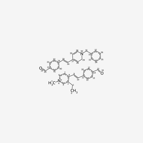 CCc1c[n+](C)ccc1C=Cc1ccc(C=O)cc1.O=Cc1ccc(C=CC2=CCN(Cc3ccccc3)C=C2)cc1